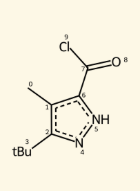 Cc1c(C(C)(C)C)n[nH]c1C(=O)Cl